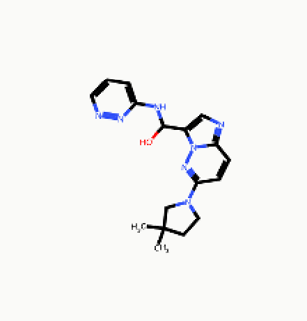 CC1(C)CCN(c2ccc3ncc(C(O)Nc4cccnn4)n3n2)C1